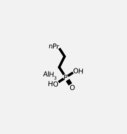 CCCCCP(=O)(O)O.[AlH3]